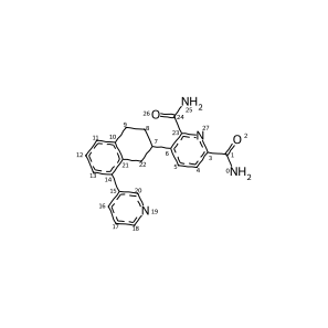 NC(=O)c1ccc(C2CCc3cccc(-c4cccnc4)c3C2)c(C(N)=O)n1